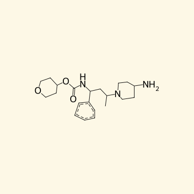 CC(CC(NC(=O)OC1CCOCC1)c1ccccc1)N1CCC(N)CC1